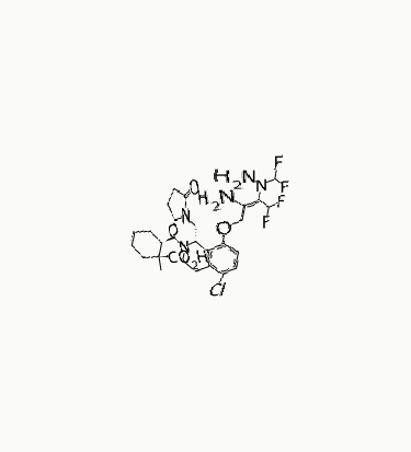 C[C@]1(C(=O)O)CCCC[C@H]1C(=O)N1CCc2c(Cl)ccc(OC/C(N)=C(\C(F)F)N(N)C(F)F)c2[C@H]1CN1CCCC1=O